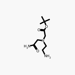 CC(C)(C)OC(=O)CN(CCN)CC(N)=O